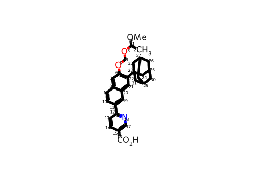 COC(C)OCOc1cc2ccc(-c3ccc(C(=O)O)cn3)cc2cc1C12CC3CC(CC(C3)C1)C2